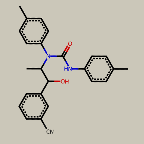 Cc1ccc(NC(=O)N(c2ccc(C)cc2)C(C)C(O)c2cccc(C#N)c2)cc1